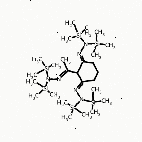 CC(=NN([Si](C)(C)C)[Si](C)(C)C)C1C(=NN([Si](C)(C)C)[Si](C)(C)C)CCCC1=NN([Si](C)(C)C)[Si](C)(C)C